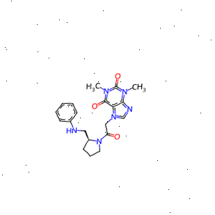 Cn1c(=O)c2c(ncn2CC(=O)N2CCC[C@H]2CNc2ccccc2)n(C)c1=O